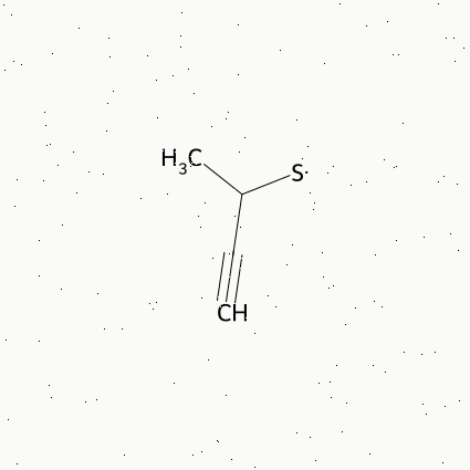 C#CC(C)[S]